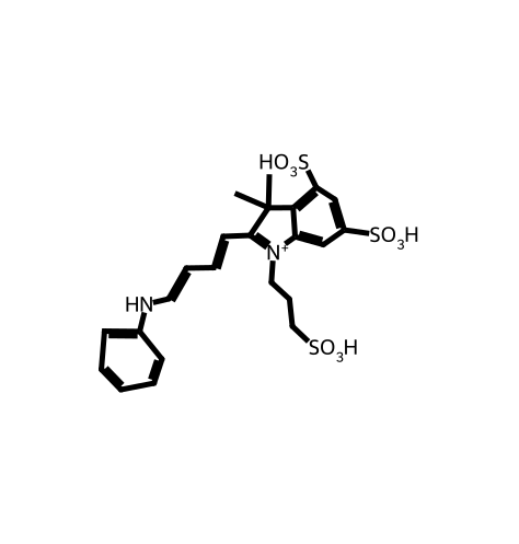 CC1(C)C(/C=C/C=C/Nc2ccccc2)=[N+](CCCS(=O)(=O)O)c2cc(S(=O)(=O)O)cc(S(=O)(=O)O)c21